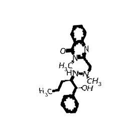 CCC[C@@H](NN(C)Cc1nc2ccccc2c(=O)n1C)[C@H](O)c1ccccc1